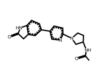 CC(=O)NC1CCN(c2ccc(-c3ccc4c(c3)CC(=O)N4)cn2)C1